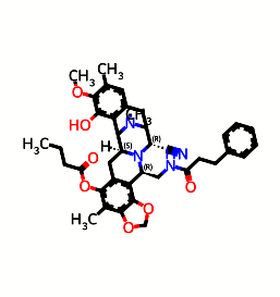 CCCC(=O)Oc1c(C)c2c(c3c1C[C@H]1C4c5c(cc(C)c(OC)c5O)CC([C@H](C#N)N1[C@H]3CNC(=O)CCc1ccccc1)N4C)OCO2